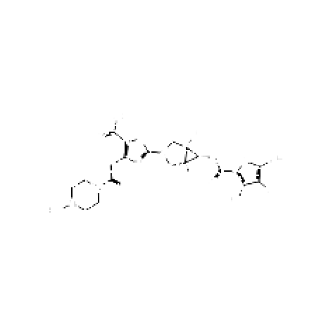 Cc1[nH]c(C(=O)N[C@H]2[C@@H]3CN(c4nc(CC(=O)N5CCN(C)CC5)c(C(=O)O)s4)C[C@@H]32)c(Cl)c1Cl